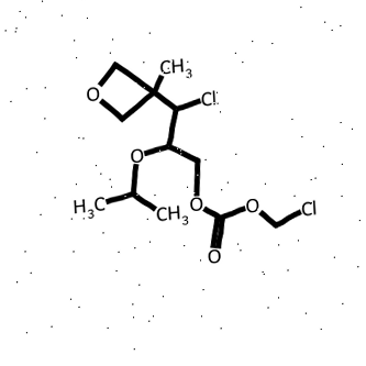 CC(C)OC(COC(=O)OCCl)C(Cl)C1(C)COC1